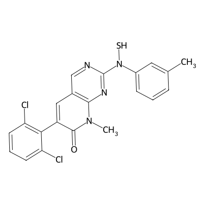 Cc1cccc(N(S)c2ncc3cc(-c4c(Cl)cccc4Cl)c(=O)n(C)c3n2)c1